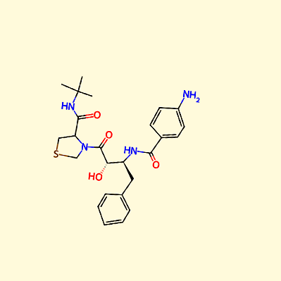 CC(C)(C)NC(=O)C1CSCN1C(=O)[C@@H](O)[C@H](Cc1ccccc1)NC(=O)c1ccc(N)cc1